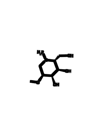 CO[C@H]1CN(P)[C@H](CO)[C@@H](O)[C@@H]1O